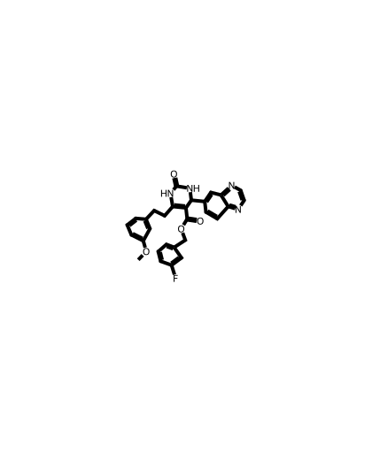 COc1cccc(CCC2=C(C(=O)OCc3cccc(F)c3)C(c3ccc4nccnc4c3)NC(=O)N2)c1